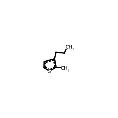 CCCc1ccsc1C